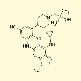 CC(C)(O)CN1CCC(c2cc(C#N)cc(Nc3nc(NC4CC4)c4ncc(C#N)n4n3)c2Cl)CC1